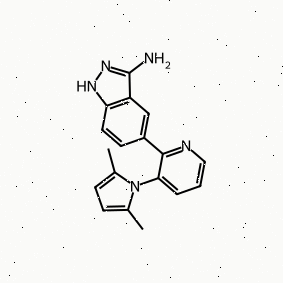 Cc1ccc(C)n1-c1cccnc1-c1ccc2[nH]nc(N)c2c1